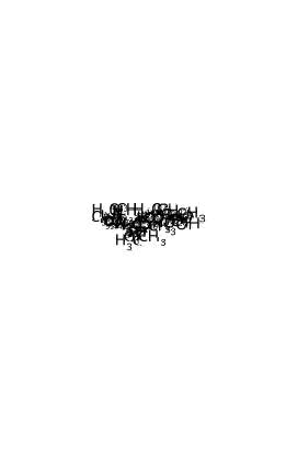 CC(C)C1=C2[C@H]3CCC4[C@@H](CCC5C(C)(C)[C@@H](OC(=O)CC(C)(C)C(=O)O)CC[C@]45C)[C@]3(C)CC[C@@]2(CCN(CCN(C)C)Cc2ccc(Cl)cc2)CC1=O